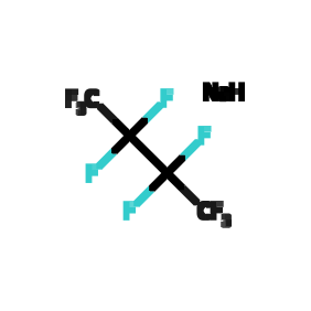 FC(F)(F)C(F)(F)C(F)(F)C(F)(F)F.[NaH]